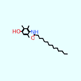 CCCCCCCCCCCCCC(=O)Nc1c(C)cc(O)c(C)c1C